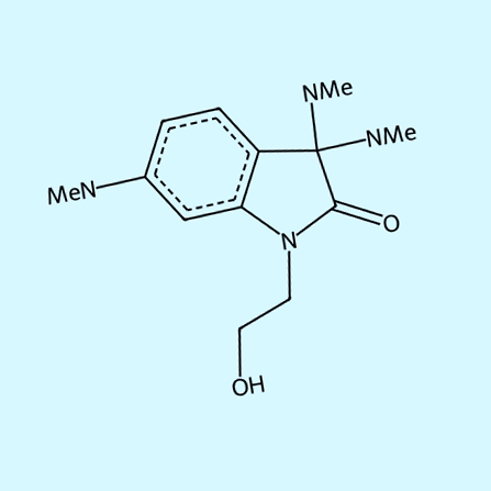 CNc1ccc2c(c1)N(CCO)C(=O)C2(NC)NC